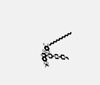 CCCCCCCCCCCCCCCCOc1cc(F)c(S(=O)(=O)c2cnc3ccc(OC(F)(F)F)cc3c2N2CCC(N3CCN(C4CCN(CC)CC4)CC3)CC2)cc1F